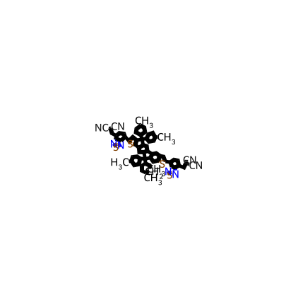 C=C(C)/C=C\C(=C/C)C1(c2ccc(C)cc2)c2cc3c(cc2-c2cc4cc(-c5ccc(C=C(C#N)C#N)c6nsnc56)sc4cc21)C(c1ccc(C)cc1)(c1ccc(C)cc1)c1cc(-c2ccc(C=C(C#N)C#N)c4nsnc24)sc1-3